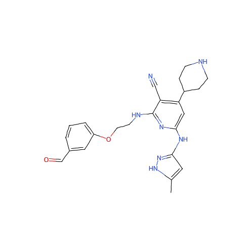 Cc1cc(Nc2cc(C3CCNCC3)c(C#N)c(NCCOc3cccc(C=O)c3)n2)n[nH]1